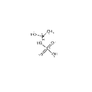 CPO.O=S(=O)(O)O